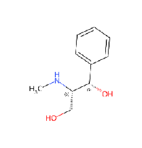 CN[C@@H](CO)[C@@H](O)c1ccccc1